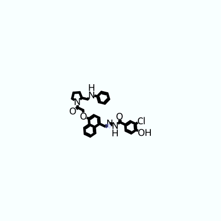 O=C(N/N=C/c1ccc(OCC(=O)N2CCCC2CNc2ccccc2)c2ccccc12)c1ccc(O)c(Cl)c1